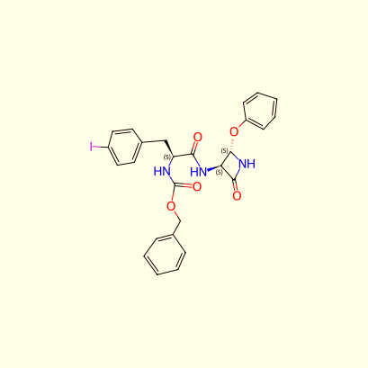 O=C(N[C@@H](Cc1ccc(I)cc1)C(=O)N[C@@H]1C(=O)N[C@H]1Oc1ccccc1)OCc1ccccc1